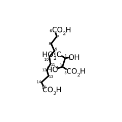 O=C(O)C(O)C(O)C(=O)O.O=C(O)CCCCCCCCC(=O)O